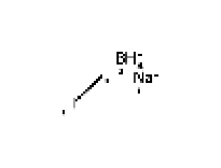 CI.[BH4-].[Na+]